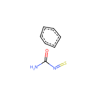 NC(=O)N=S.c1ccccc1